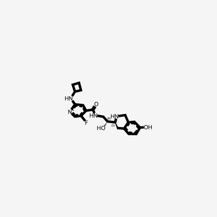 O=C(NC[C@@H](O)[C@@H]1Cc2ccc(O)cc2CN1)c1cc(NC2CCC2)ncc1F